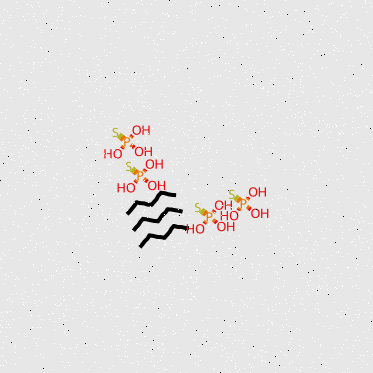 CCCCC.CCCCC.CCCCC.OP(O)(O)=S.OP(O)(O)=S.OP(O)(O)=S.OP(O)(O)=S